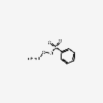 CCCCCOOS(=O)(=O)c1ccccc1